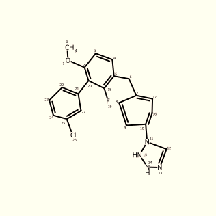 COc1ccc(Cc2ccc(N3C=NNN3)cc2)c(F)c1-c1cccc(Cl)c1